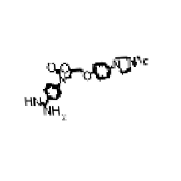 CC(=O)N1CCN(c2ccc(OCC3CN(c4ccc(C(=N)N)cc4)C(=O)O3)cc2)CC1